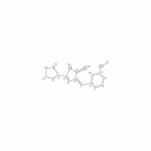 COc1cccc(/C=C2/C=C(C3CCCS3)OC2=O)c1